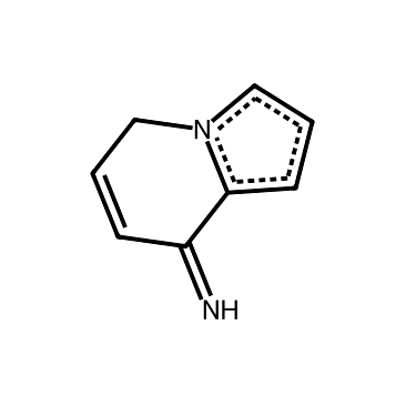 N=C1C=CCn2cccc21